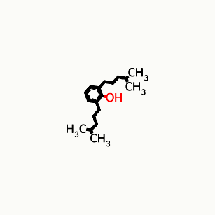 CC(C)CCCc1cccc(CCCC(C)C)c1O